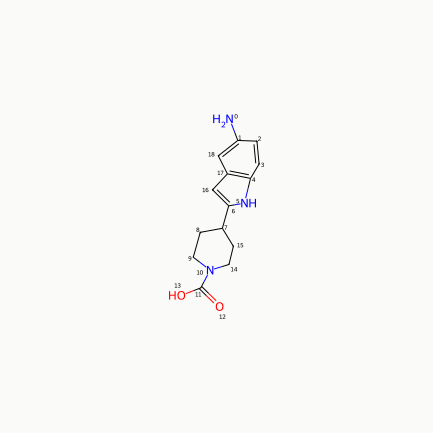 Nc1ccc2[nH]c(C3CCN(C(=O)O)CC3)cc2c1